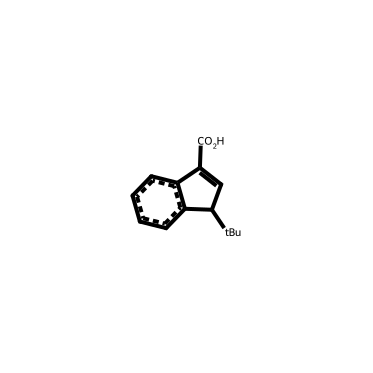 CC(C)(C)C1C=C(C(=O)O)c2ccccc21